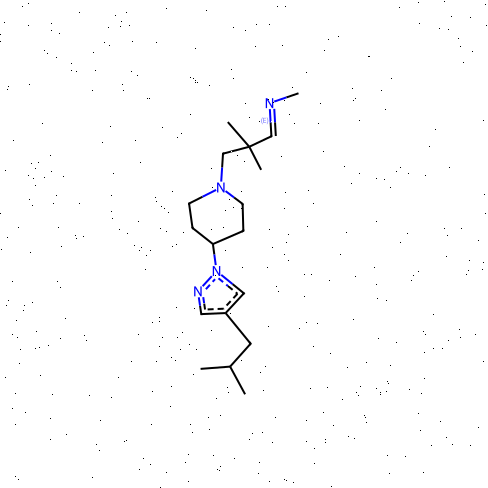 C/N=C/C(C)(C)CN1CCC(n2cc(CC(C)C)cn2)CC1